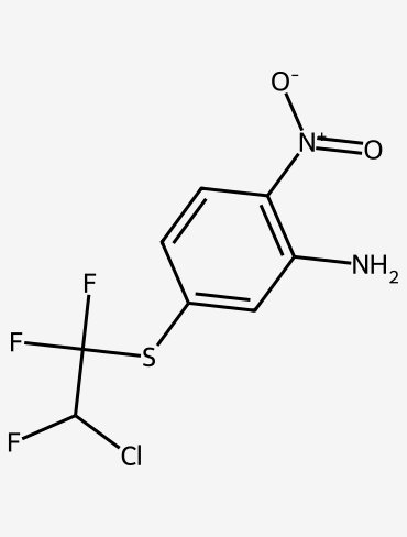 Nc1cc(SC(F)(F)C(F)Cl)ccc1[N+](=O)[O-]